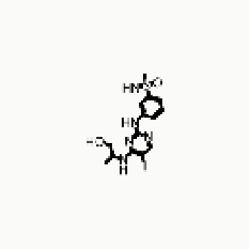 CC(CO)Nc1nc(Nc2cccc(S(C)(=N)=O)c2)ncc1I